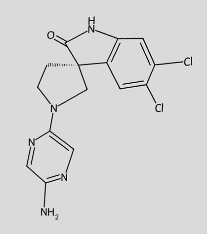 Nc1cnc(N2CC[C@]3(C2)C(=O)Nc2cc(Cl)c(Cl)cc23)cn1